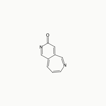 O=c1cc2cncccc-2cn1